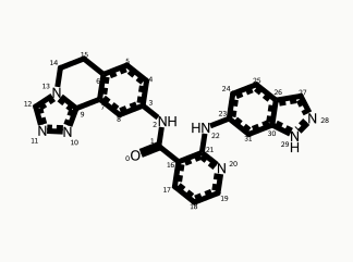 O=C(Nc1ccc2c(c1)-c1nncn1CC2)c1cccnc1Nc1ccc2cn[nH]c2c1